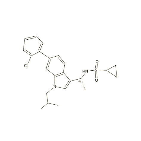 CC(C)Cn1cc([C@@H](C)NS(=O)(=O)C2CC2)c2ccc(-c3ccccc3Cl)cc21